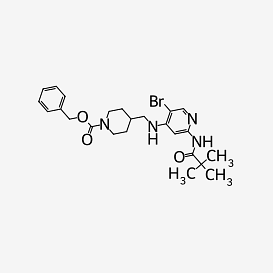 CC(C)(C)C(=O)Nc1cc(NCC2CCN(C(=O)OCc3ccccc3)CC2)c(Br)cn1